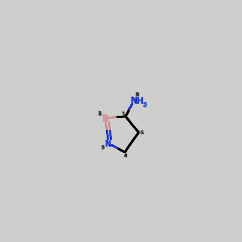 NC1B=NCC1